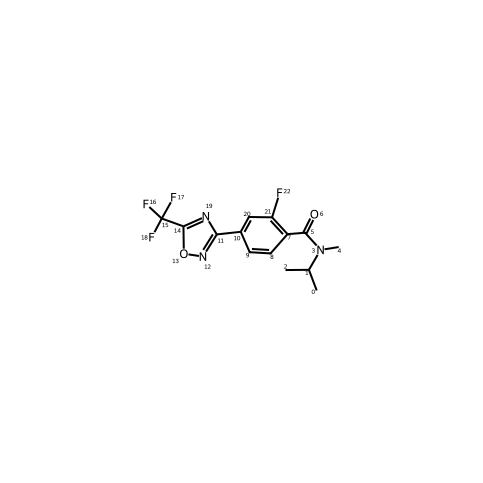 CC(C)N(C)C(=O)c1ccc(-c2noc(C(F)(F)F)n2)cc1F